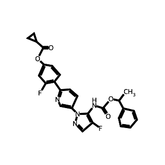 CC(OC(=O)Nc1c(F)cnn1-c1ccc(-c2ccc(OC(=O)C3CC3)cc2F)nc1)c1ccccc1